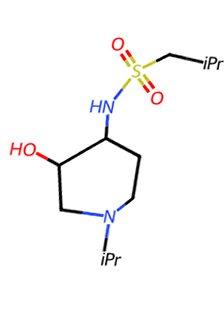 CC(C)CS(=O)(=O)NC1CCN(C(C)C)CC1O